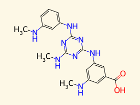 CNc1cccc(Nc2nc(NC)nc(Nc3cc(NC)cc(C(=O)O)c3)n2)c1